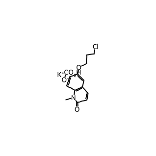 Cn1c(=O)ccc2cc(OCCCCl)ccc21.O=C([O-])O.[K+]